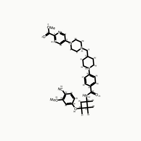 COC(=O)c1ncc(N2CCN(CC3CCN(c4ccc(C(=O)NC5(C)CC(C)(Oc6ccc(C#N)c(OC)c6)C5(C)C)cc4)CC3)CC2)cn1